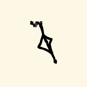 NC12CC(Cl)(C1)C2